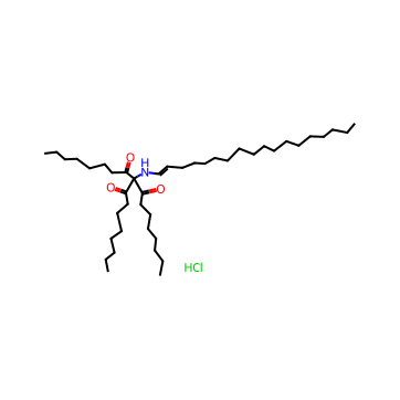 CCCCCCCCCCCCCCCCC=CNC(C(=O)CCCCCCC)(C(=O)CCCCCCC)C(=O)CCCCCCC.Cl